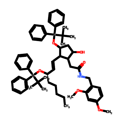 CCCCC[C@@H](C=CC1C(O[Si](c2ccccc2)(c2ccccc2)C(C)(C)C)CC(O)C1CC(=O)NCc1ccc(OC)cc1OC)O[Si](c1ccccc1)(c1ccccc1)C(C)(C)C